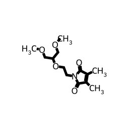 COCC(COC)OCCN1C(=O)C(C)=C(C)C1=O